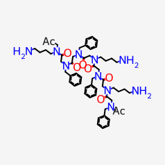 CC(=O)CN(CCCCN)C(=O)CN(Cc1ccccc1)C(=O)CN(Cc1ccccc1)C(=O)CN(CCCCN)C(=O)CN(Cc1ccccc1)C(=O)CN(CCCCN)C(=O)CN(Cc1ccccc1)C(C)=O